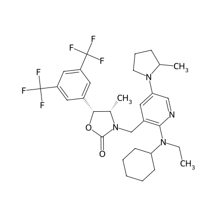 CCN(c1ncc(N2CCCC2C)cc1CN1C(=O)O[C@H](c2cc(C(F)(F)F)cc(C(F)(F)F)c2)[C@@H]1C)C1CCCCC1